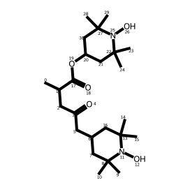 CC(CC(=O)CC1CC(C)(C)N(O)C(C)(C)C1)C(=O)OC1CC(C)(C)N(O)C(C)(C)C1